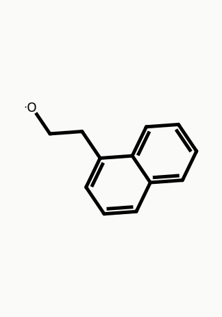 [O]CCc1cccc2ccccc12